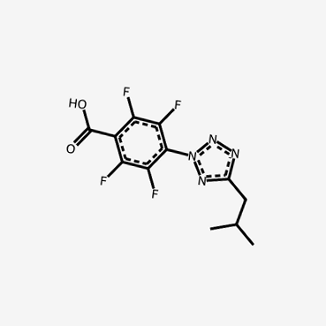 CC(C)Cc1nnn(-c2c(F)c(F)c(C(=O)O)c(F)c2F)n1